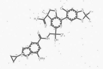 COc1cc(C(=O)NCC(O)(c2cc3c(c(-c4cc5c(cc4Cl)OC(F)(F)O5)n2)OC[C@]3(C)C(N)=O)C(F)(F)F)cc2cn(C3CC3)nc12